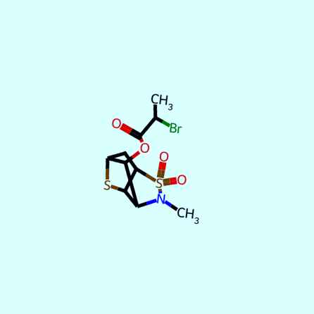 CC(Br)C(=O)OC1C2CC3C(S2)C1N(C)S3(=O)=O